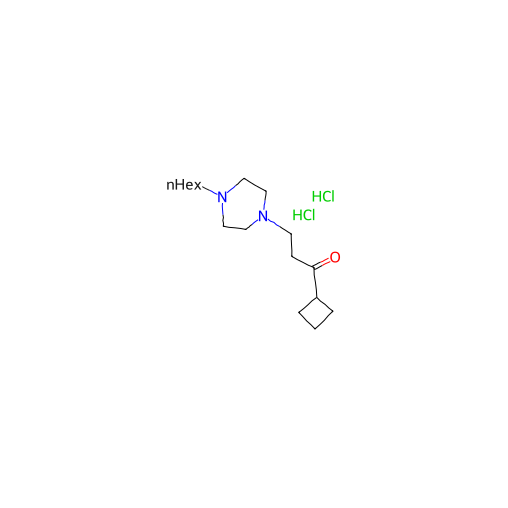 CCCCCCN1CCN(CCC(=O)C2CCC2)CC1.Cl.Cl